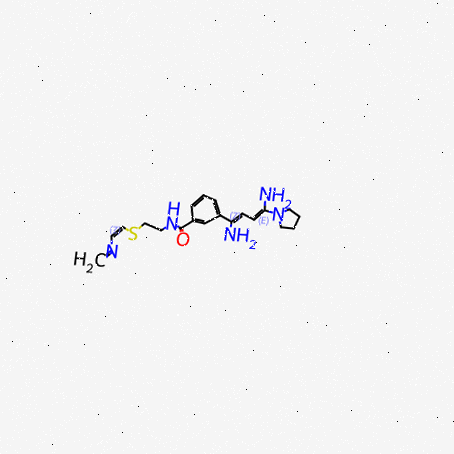 C=N/C=C\SCCNC(=O)c1cccc(/C(N)=C/C=C(\N)N2CCCC2)c1